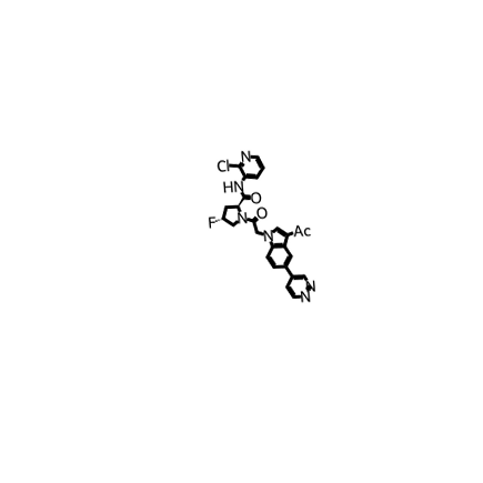 CC(=O)c1cn(CC(=O)N2C[C@H](F)C[C@H]2C(=O)Nc2cccnc2Cl)c2ccc(-c3ccnnc3)cc12